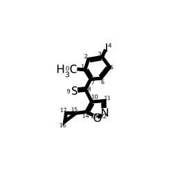 Cc1cc(I)ccc1C(=S)c1cnoc1C1CC1